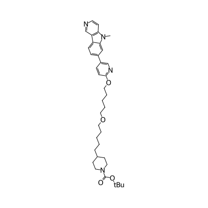 Cn1c2ccncc2c2ccc(-c3ccc(OCCCCCOCCCCCC4CCN(C(=O)OC(C)(C)C)CC4)nc3)cc21